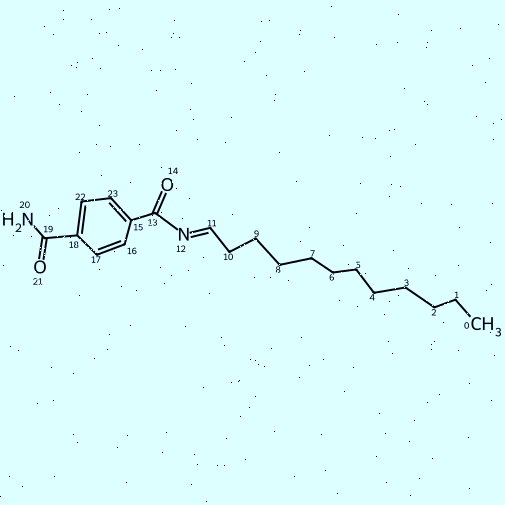 CCCCCCCCCCCC=NC(=O)c1ccc(C(N)=O)cc1